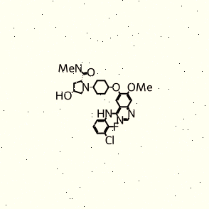 CNC(=O)[C@H]1C[C@@H](O)CN1[C@H]1CC[C@H](Oc2cc3c(Nc4cccc(Cl)c4F)ncnc3cc2OC)CC1